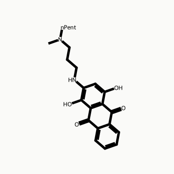 CCCCCN(C)CCCNc1cc(O)c2c(c1O)C(=O)c1ccccc1C2=O